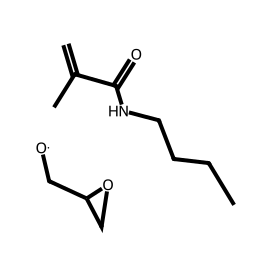 C=C(C)C(=O)NCCCC.[O]CC1CO1